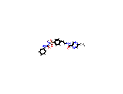 Cc1cnc(C(=O)NCCc2ccc(S(=O)(=O)N(I)C(=O)NC3CCCCC3)cc2)cn1